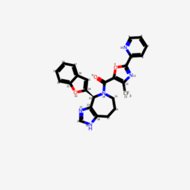 O=C(c1oc(-c2ccccn2)nc1C(F)(F)F)N1CCCc2[nH]cnc2[C@H]1c1cc2ccccc2o1